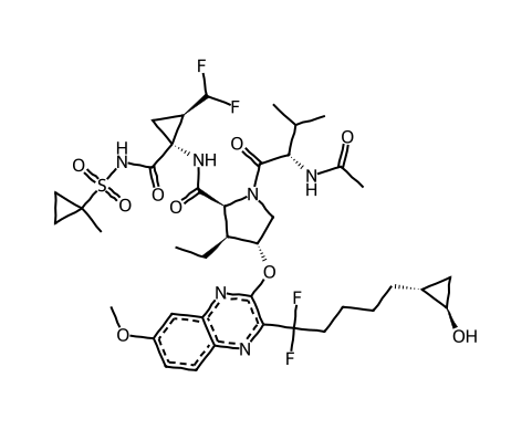 CC[C@@H]1[C@@H](Oc2nc3cc(OC)ccc3nc2C(F)(F)CCCC[C@@H]2C[C@H]2O)CN(C(=O)[C@@H](NC(C)=O)C(C)C)[C@@H]1C(=O)N[C@]1(C(=O)NS(=O)(=O)C2(C)CC2)C[C@H]1C(F)F